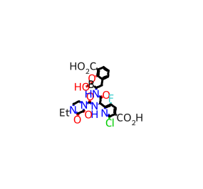 CCN1CCN(C(=O)N[C@H](C(=O)NC2Cc3cccc(C(=O)O)c3OB2O)c2nc(Cl)c(C(=O)O)cc2F)C(=O)C1=O